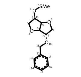 CSO[C@@H]1COC2C1OC[C@@H]2OCc1ccccc1